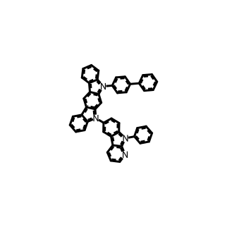 c1ccc(-c2ccc(-n3c4ccccc4c4cc5c6ccccc6n(-c6ccc7c(c6)c6cccnc6n7-c6ccccc6)c5cc43)cc2)cc1